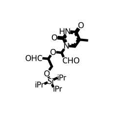 Cc1cn(C(C=O)OC(C=O)CO[Si](C(C)C)(C(C)C)C(C)C)c(=O)[nH]c1=O